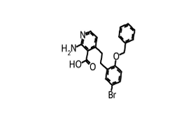 Nc1nccc(CCc2cc(Br)ccc2OCc2ccccc2)c1C(=O)O